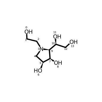 OCCN1C[C@H](O)[C@H](O)[C@@H]1[C@@H](O)CO